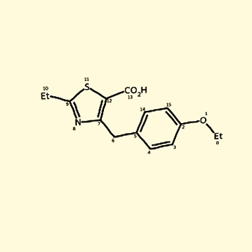 CCOc1ccc(Cc2nc(CC)sc2C(=O)O)cc1